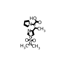 CC(c1cn(S(=O)(=O)N(C)C)cn1)[C@@H](C(=O)O)n1cccc1